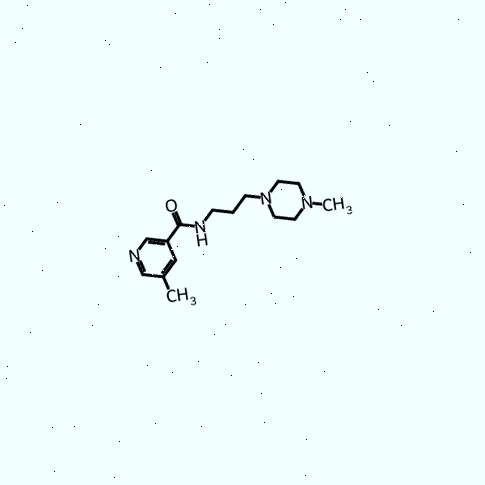 Cc1cncc(C(=O)NCCCN2CCN(C)CC2)c1